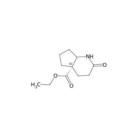 CCOC(=O)[C@]12CCCC1NC(=O)CC2